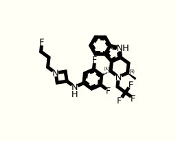 C[C@@H]1Cc2[nH]c3ccccc3c2[C@@H](c2c(F)cc(NC3CN(CCCF)C3)cc2F)N1CC(F)(F)F